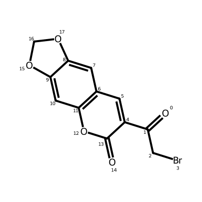 O=C(CBr)c1cc2cc3c(cc2oc1=O)OCO3